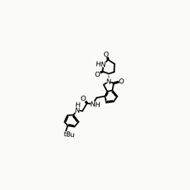 CC(C)(C)c1ccc(NCC(=O)NCc2cccc3c2CN([C@H]2CCC(=O)NC2=O)C3=O)cc1